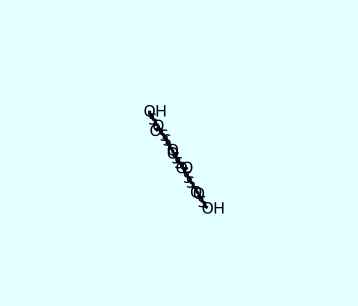 O=C(CCSCSCCCOOCSCSCOC(=O)CCSCSCCCOOCCSCCO)OCCSCCO